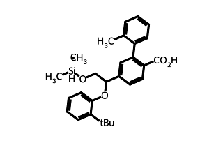 Cc1ccccc1-c1cc(C(CO[SiH](C)C)Oc2ccccc2C(C)(C)C)ccc1C(=O)O